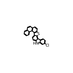 Clc1ccc2c(c1)[nH]c1ccc3c(sc4ccc5ccc6ccccc6c5c43)c12